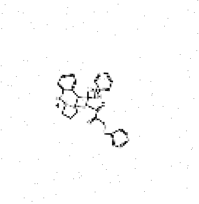 O=C(CC(Nc1ccccc1)(C(=O)O)C1c2ccccc2N[C@@H]2CCC[C@H]12)C(=O)OCc1ccccc1